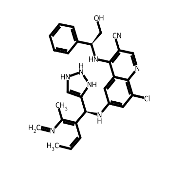 C=N/C(C)=C(\C=C/C)[C@H](Nc1cc(Cl)c2ncc(C#N)c(N[C@H](CO)c3ccccc3)c2c1)C1=CNNN1